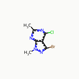 Cc1nc(Cl)c2c(Br)nn(C)c2n1